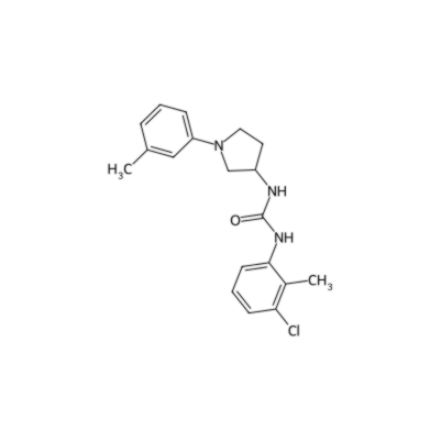 Cc1cccc(N2CCC(NC(=O)Nc3cccc(Cl)c3C)C2)c1